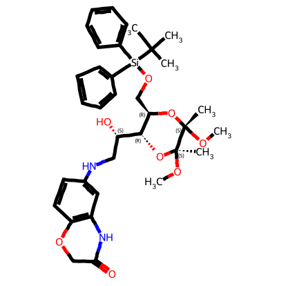 CO[C@@]1(C)O[C@H]([C@@H](O)CNc2ccc3c(c2)NC(=O)CO3)[C@@H](CO[Si](c2ccccc2)(c2ccccc2)C(C)(C)C)O[C@]1(C)OC